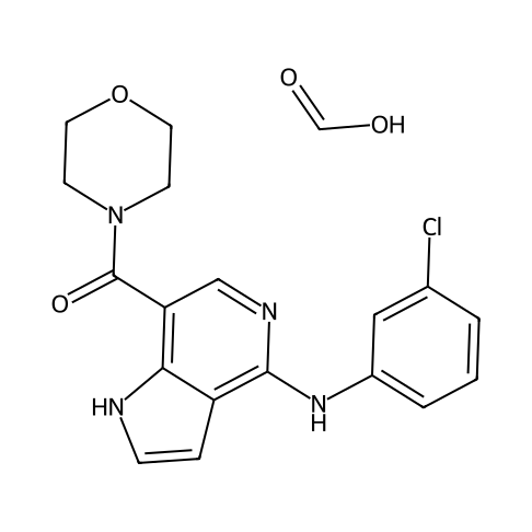 O=C(c1cnc(Nc2cccc(Cl)c2)c2cc[nH]c12)N1CCOCC1.O=CO